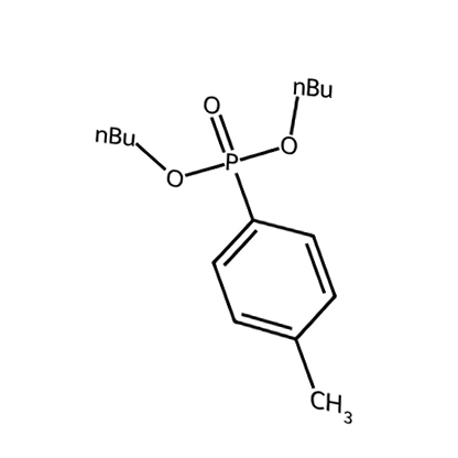 CCCCOP(=O)(OCCCC)c1ccc(C)cc1